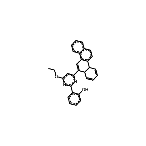 CCOc1cc(C2=Cc3c(ccc4ccccc34)C3C=CC=CC23)nc(-c2ccccc2O)n1